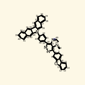 C=Nc1c(-c2ccc3c(c2)oc2ccccc23)nnc(-c2ccc(-n3c4cc5ccccc5cc4c4cc5ccccc5cc43)cc2)c1/N=C\C